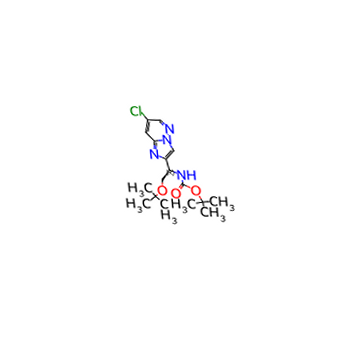 CC(C)(C)OC[C@H](NC(=O)OC(C)(C)C)c1cn2ncc(Cl)cc2n1